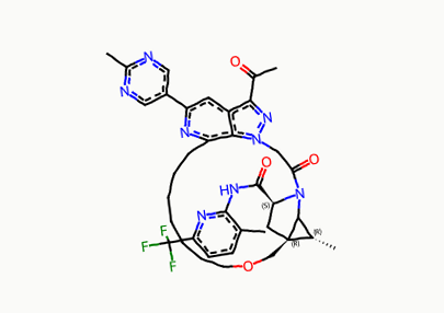 CC(=O)c1nn2c3c(nc(-c4cnc(C)nc4)cc13)CCCCCCCOC[C@@]13C[C@@H](C(=O)Nc4nc(C(F)(F)F)ccc4C)N(C(=O)C2)C1[C@@H]3C